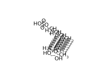 C=C.C=C.C=C.C=C.C=C.C=C.C=C.C=C.C=C.CCOCC.CCOS(=O)(=O)O.OCCO